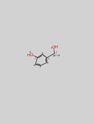 C[C@@H](O)c1cccc(O)c1